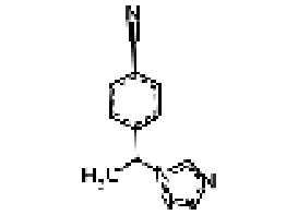 CC(c1ccc(C#N)cc1)n1cncn1